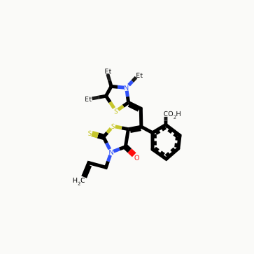 C=CCN1C(=O)C(=C(C=C2SC(CC)C(CC)N2CC)c2ccccc2C(=O)O)SC1=S